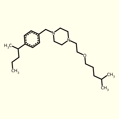 CCCC(C)c1ccc(CN2CCN(CCOCCCC(C)C)CC2)cc1